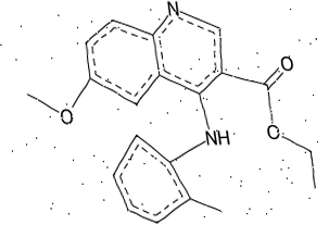 CCOC(=O)c1cnc2ccc(OC)cc2c1Nc1ccccc1C